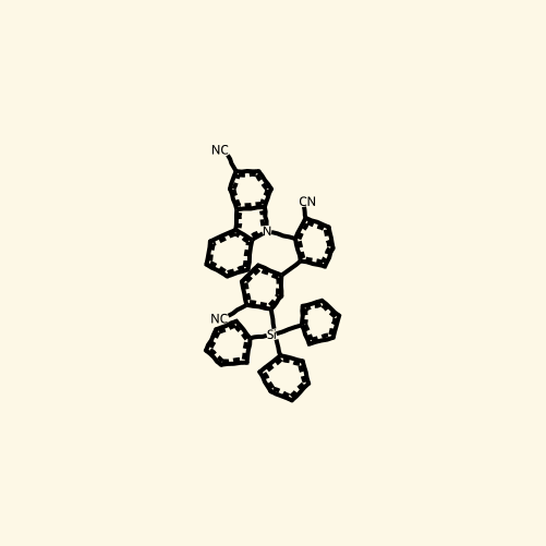 N#Cc1ccc2c(c1)c1ccccc1n2-c1c(C#N)cccc1-c1ccc(C#N)c([Si](c2ccccc2)(c2ccccc2)c2ccccc2)c1